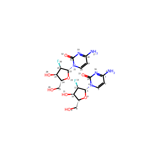 Nc1ccn([C@@H]2O[C@H](CO)[C@@H](O)[C@H]2F)c(=O)n1.Nc1ccn([C@@H]2O[C@H](CO)[C@@H](O)[C@H]2F)c(=O)n1